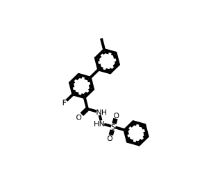 Cc1cccc(-c2ccc(F)c(C(=O)NNS(=O)(=O)c3ccccc3)c2)c1